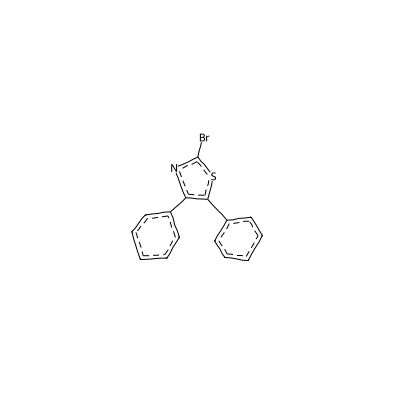 Brc1nc(-c2ccccc2)c(-c2ccccc2)s1